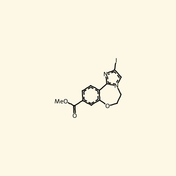 COC(=O)c1ccc2c(c1)OCCn1cc(I)nc1-2